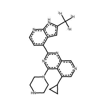 [2H]C([2H])([2H])c1cc2c(-c3nc(N4CCNCC4)c4c(C5CC5)cncc4n3)ccnc2[nH]1